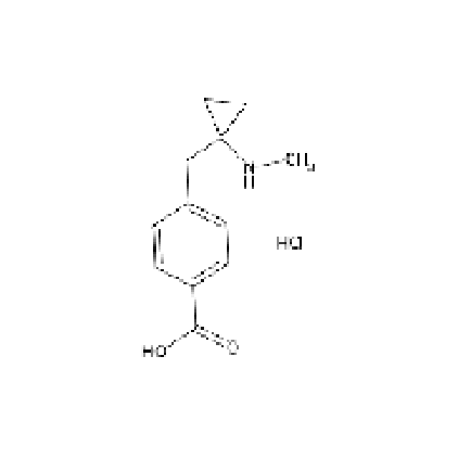 CNC1(Cc2ccc(C(=O)O)cc2)CC1.Cl